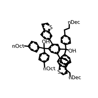 CCCCCCCCCCCCc1ccc(C(O)(c2ccc(CCCCCCCCCCCC)cc2)c2cc(-c3ccc4ccsc4c3)c(C(O)(c3ccc(CCCCCCCC)cc3)c3ccc(CCCCCCCC)cc3)cc2-c2ccc3ccsc3c2)cc1